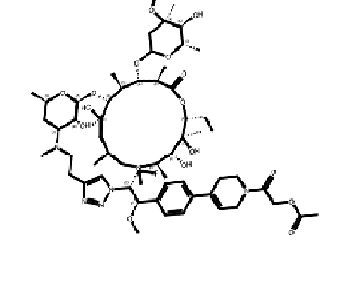 CC[C@H]1OC(=O)[C@H](C)[C@@H](OC2C[C@@](C)(OC)[C@@H](O)[C@H](C)O2)[C@H](C)[C@@H](O[C@@H]2O[C@H](C)C[C@H](N(C)CCc3cn([C@H](CF)[C@H](OC)c4ccc(C5=CCN(C(=O)COC(C)=O)CC5)cc4)nn3)[C@H]2O)[C@](C)(O)CC(C)CN(C)[C@H](C)[C@@H](O)[C@]1(C)O